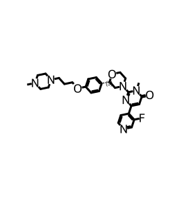 CN1CCN(CCCOc2ccc([C@H]3CN(c4nc(-c5ccncc5F)cc(=O)n4C)CCO3)cc2)CC1